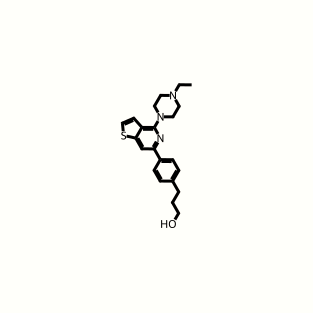 CCN1CCN(c2nc(-c3ccc(CCCO)cc3)cc3sccc23)CC1